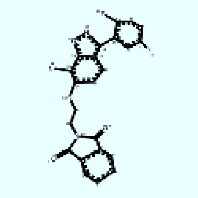 O=C1c2ccccc2C(=O)N1CCOc1ccc2c(-c3cc(F)ccc3F)noc2c1Cl